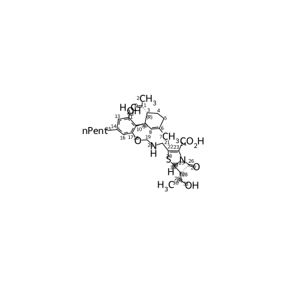 C=C(C)[C@@H]1CCC(C)=C[C@H]1c1c(O)cc(CCCCC)cc1OCNCC1=C(C(=O)O)N2C(=O)[C@H]([C@@H](C)O)[C@H]2S1